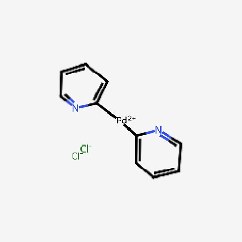 [Cl-].[Cl-].c1cc[c]([Pd+2][c]2ccccn2)nc1